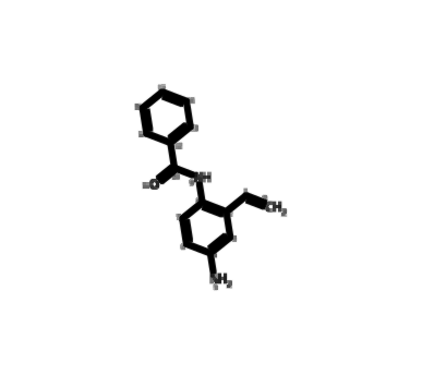 C=Cc1cc(N)ccc1NC(=O)c1ccccc1